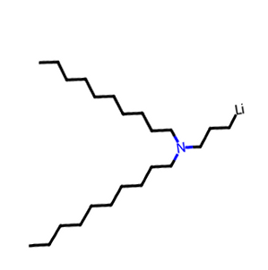 [Li][CH2]CCN(CCCCCCCCCC)CCCCCCCCCC